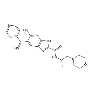 CC(CN1CCOCC1)NC(=O)c1nc2cc(C(=N)c3ccncc3)c(N)cc2[nH]1